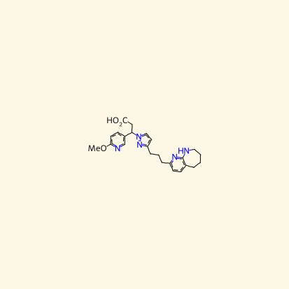 COc1ccc(C(CC(=O)O)n2ccc(CCCc3ccc4c(n3)NCCCC4)n2)cn1